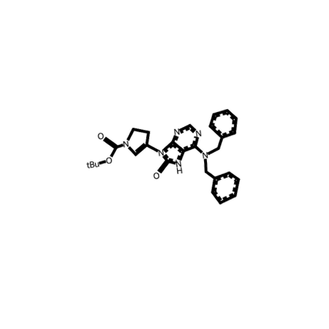 CC(C)(C)OC(=O)N1C=C(n2c(=O)[nH]c3c(N(Cc4ccccc4)Cc4ccccc4)ncnc32)CC1